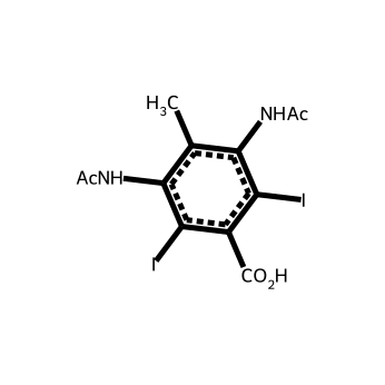 CC(=O)Nc1c(C)c(NC(C)=O)c(I)c(C(=O)O)c1I